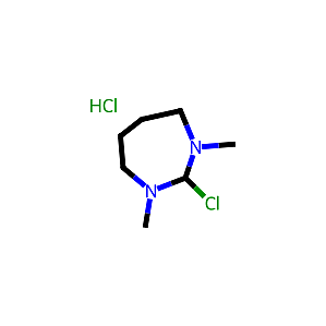 CN1CCCCN(C)C1Cl.Cl